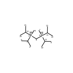 CC(C)[PH](C)([C][PH](C)(C(C)C)C(C)C)C(C)C